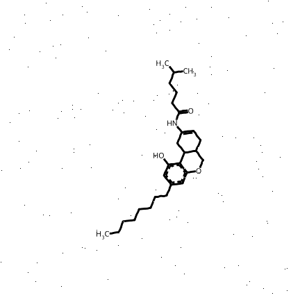 CCCCCCCCc1cc(O)c2c(c1)OCC1CC=C(NC(=O)CCCC(C)C)CC21